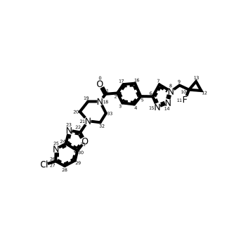 O=C(c1ccc(-c2cn(CC3(F)CC3)nn2)cc1)N1CCN(c2nc3nc(Cl)ccc3o2)CC1